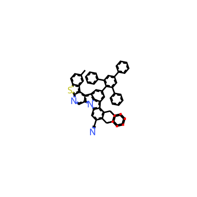 Cc1ccc2sc3ncc4c(c5cc(-c6c(-c7ccccc7)cc(-c7ccccc7)cc6-c6ccccc6)cc6c7c8c(c(C#N)cc7n4c65)C4c5ccccc5C8c5ccccc54)c3c2c1